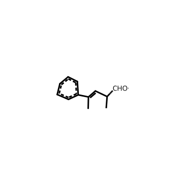 CC(=CC(C)[C]=O)c1ccccc1